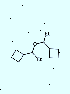 CCC(OC(CC)C1CCC1)C1CCC1